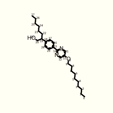 CCCCCCCCCCOc1cnc(-c2ccc(C(CO)CCCCCC)cc2)nc1